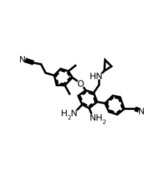 Cc1cc(CCC#N)cc(C)c1Oc1cc(N)c(N)c(-c2ccc(C#N)cc2)c1CNC1CC1